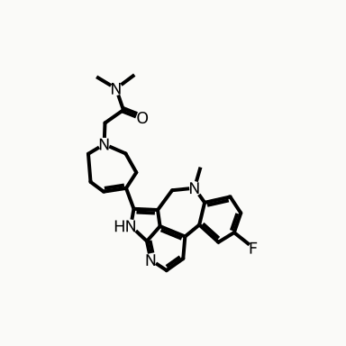 CN(C)C(=O)CN1CCC=C(c2[nH]c3nccc4c3c2CN(C)c2ccc(F)cc2-4)CC1